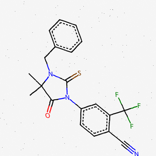 CC1(C)C(=O)N(c2ccc(C#N)c(C(F)(F)F)c2)C(=S)N1Cc1ccccc1